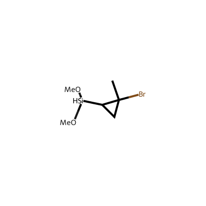 CO[SiH](OC)C1CC1(C)Br